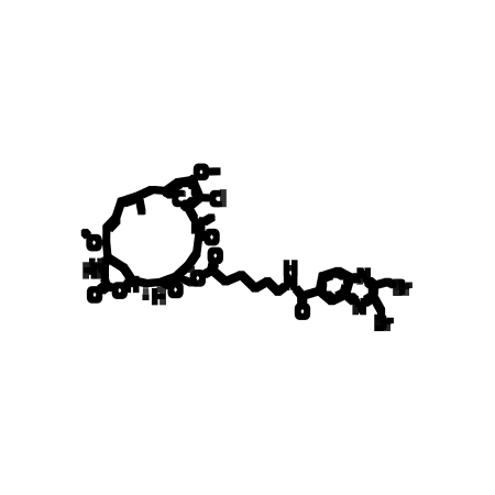 COc1cc2cc(c1Cl)N(C)C(=O)C[C@H](OC(=O)CCCCCNC(=O)c1ccc3nc(CBr)c(CBr)nc3c1)[C@]1(C)O[C@H]1[C@H](C)[C@@H]1C[C@@H](NC(=O)O1)[C@H](OC)/C=C/C=C(\C)C2